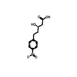 O=C(O)C[C@H](O)CCc1ccc([N+](=O)[O-])cc1